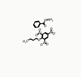 CCCCOc1c([N+](=O)[O-])cc([N+](=O)[O-])cc1[N+](=O)[O-].NOC(=O)c1ccccc1